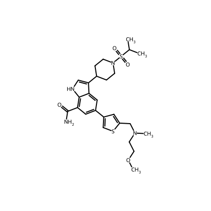 COCCN(C)Cc1cc(-c2cc(C(N)=O)c3[nH]cc(C4CCN(S(=O)(=O)C(C)C)CC4)c3c2)cs1